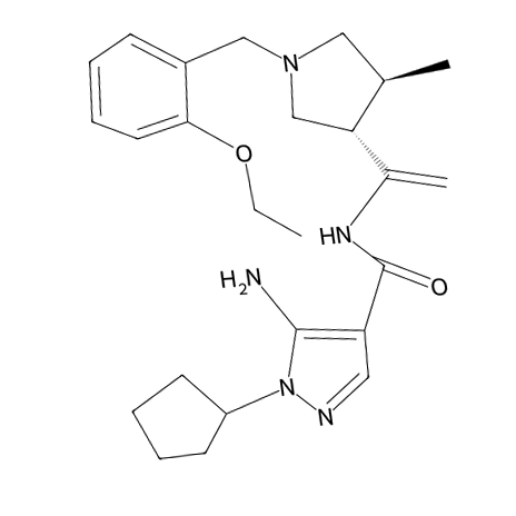 C=C(NC(=O)c1cnn(C2CCCC2)c1N)[C@@H]1CN(Cc2ccccc2OCC)C[C@H]1C